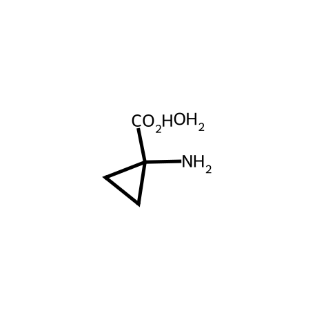 NC1(C(=O)O)CC1.O